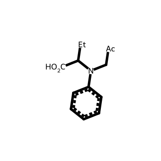 CCC(C(=O)O)N(CC(C)=O)c1ccccc1